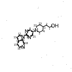 OCCC1CCN(c2cnc(-n3ccc4ccncc43)nc2)CC1